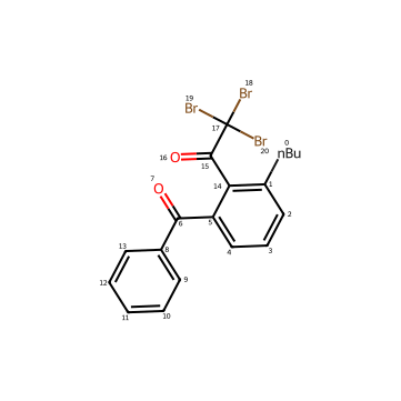 CCCCc1cccc(C(=O)c2ccccc2)c1C(=O)C(Br)(Br)Br